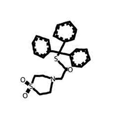 O=C(CN1CCS(=O)(=O)CC1)SC(c1ccccc1)(c1ccccc1)c1ccccc1